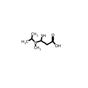 CC(C)N(C)C(S)CC(=O)O